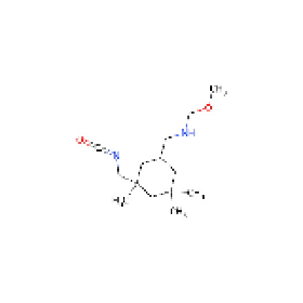 COCNCC1CC(C)(C)CC(C)(CN=C=O)C1